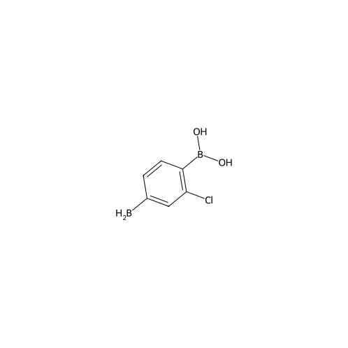 Bc1ccc(B(O)O)c(Cl)c1